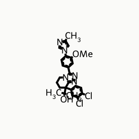 COc1cc(-c2nnc3n2CCCC3(c2ccc(Cl)c(Cl)c2)C(C)(C)O)ccc1-n1cnc(C)c1